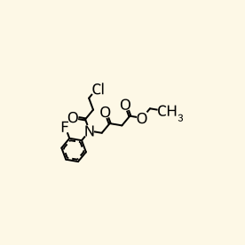 CCOC(=O)CC(=O)CN(C(=O)CCCl)c1ccccc1F